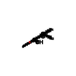 CCCCCCCCCCCCN(CCO)CCCCCCCC(=O)OC(CCCCCCCC)CCCCCCCC